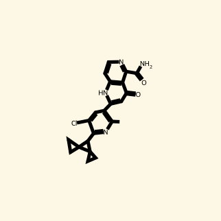 Cc1nc(C2C3(CC3)C23CC3)c(Cl)cc1-c1cc(=O)c2c(C(N)=O)nccc2[nH]1